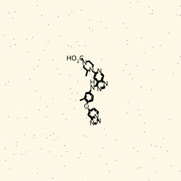 Cc1cc(Nc2ncnc3cnc(N4CCN(C(=O)O)CC4C)cc23)ccc1Oc1ccn2ncnc2c1